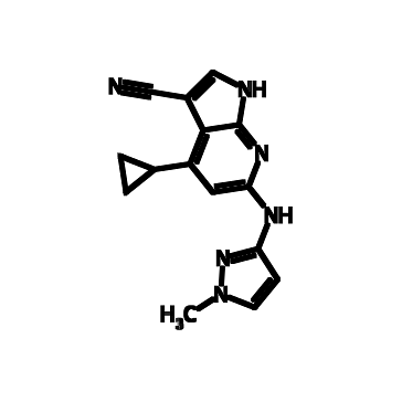 Cn1ccc(Nc2cc(C3CC3)c3c(C#N)c[nH]c3n2)n1